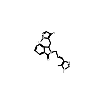 Cn1ncc(Cl)c1CC1c2ccccc2C(=O)N1CC=Cc1nn[nH]c1F